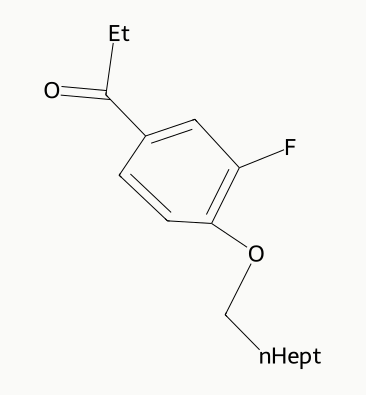 CCCCCCCCOc1ccc(C(=O)CC)cc1F